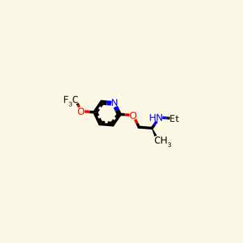 CCN[C@@H](C)COc1ccc(OC(F)(F)F)cn1